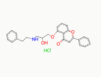 Cl.O=c1cc(-c2ccccc2)oc2cccc(OCC(O)CNCCc3ccccc3)c12